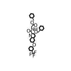 O=C(CNC(=O)c1nc2ccc(Oc3cccc(C(F)(F)F)c3)cc2cc1OCc1ccccc1)OCc1ccccc1